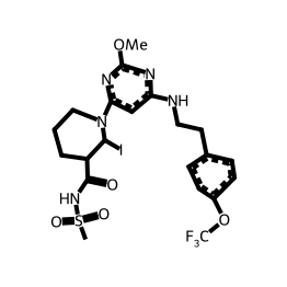 COc1nc(NCCc2ccc(OC(F)(F)F)cc2)cc(N2CCCC(C(=O)NS(C)(=O)=O)C2I)n1